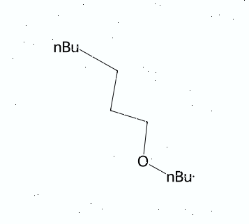 CCC[CH]OCCCCCCC